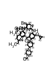 CCc1ccc2c(P(C)(C)=O)c(Nc3nc(Nc4cc(CC)c(N5CCC(N6CCN(C=O)CC6)CC5)cc4OC4CC4)ncc3Br)ccc2n1